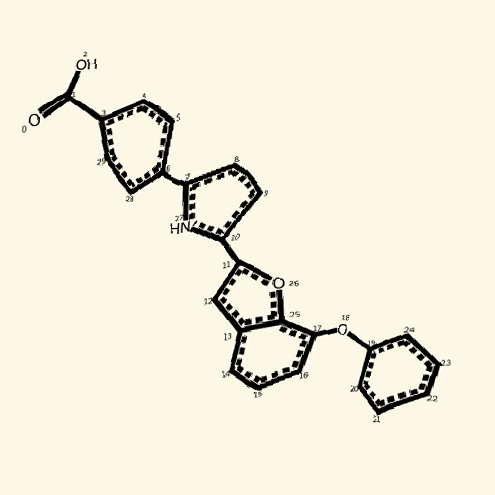 O=C(O)c1ccc(-c2ccc(-c3cc4cccc(Oc5ccccc5)c4o3)[nH]2)cc1